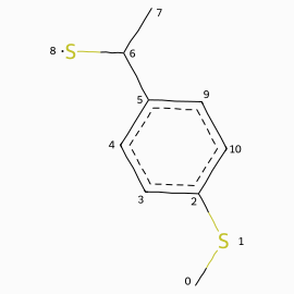 CSc1ccc(C(C)[S])cc1